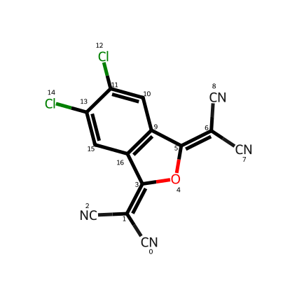 N#CC(C#N)=c1oc(=C(C#N)C#N)c2cc(Cl)c(Cl)cc12